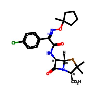 CC1(O/N=C(\C(=O)N[C@@H]2C(=O)N3[C@@H]2SC(C)(C)[C@@H]3C(=O)O)c2ccc(Cl)cc2)CCCC1